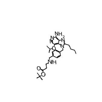 CCCCc1nc2c(N)nnc(OC(C)C)c2n1Cc1ccc(CNCCC(=O)OC(C)(C)C)cc1